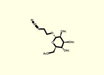 CC(=O)OC[C@H]1O[C@H](OCCN=[N+]=[N-])[C@@H](OC(C)=O)[C@@H](OC(C)=O)[C@@H]1OC(C)=O